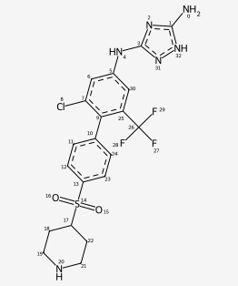 Nc1nc(Nc2cc(Cl)c(-c3ccc(S(=O)(=O)C4CCNCC4)cc3)c(C(F)(F)F)c2)n[nH]1